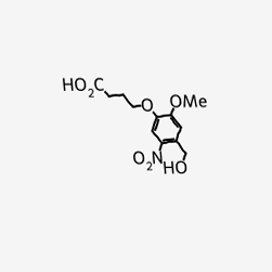 COc1cc(CO)c([N+](=O)[O-])cc1OCCCC(=O)O